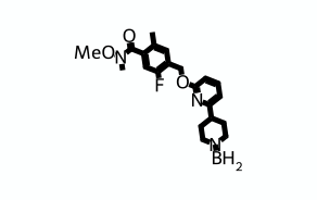 BN1CCC(c2cccc(OCc3cc(C)c(C(=O)N(C)OC)cc3F)n2)CC1